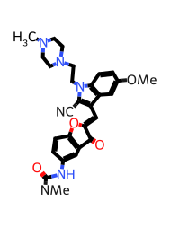 CNC(=O)Nc1ccc2c(c1)C(=O)C(=Cc1c(C#N)n(CCN3CCN(C)CC3)c3ccc(OC)cc13)O2